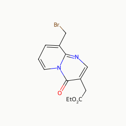 CCOC(=O)Cc1cnc2c(CBr)cccn2c1=O